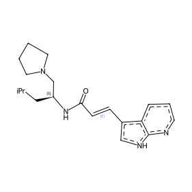 CC(C)C[C@@H](CN1CCCC1)NC(=O)/C=C/c1c[nH]c2ncccc12